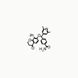 Cc1cc(C(Oc2ccc3c(c2C(C)C)OCCC3=O)c2ccc(C(N)=O)cc2)cc(C)n1